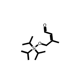 CC(=CC=O)CO[Si](C(C)C)(C(C)C)C(C)C